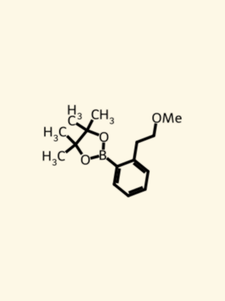 COCCc1ccccc1B1OC(C)(C)C(C)(C)O1